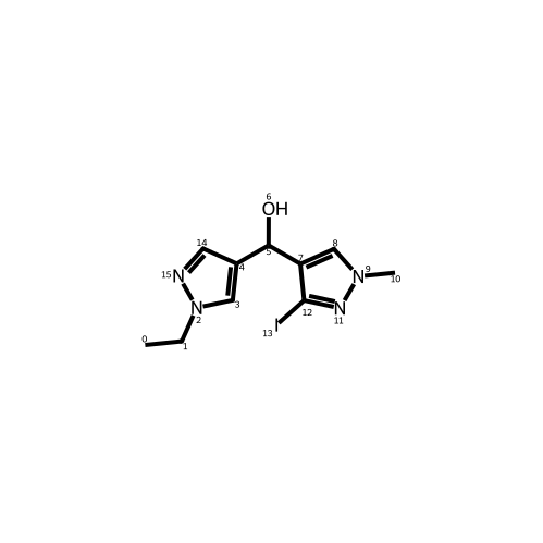 CCn1cc(C(O)c2cn(C)nc2I)cn1